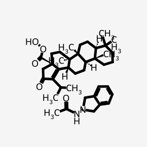 CC(=O)NN1Cc2ccccc2C1.CC(C)C1=C2[C@H]3CC[C@@H]4[C@@]5(C)CCCC(C)(C)[C@@H]5CC[C@@]4(C)[C@]3(C)CC[C@@]2(C(=O)OO)CC1=O